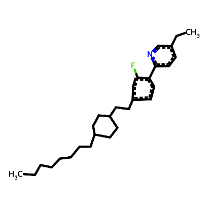 CCCCCCCCC1CCC(CCc2ccc(-c3ccc(CC)cn3)c(F)c2)CC1